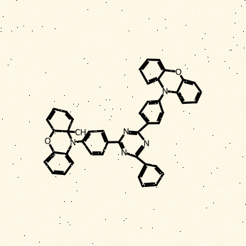 CC12C=CC=CC1Oc1ccccc1N2c1ccc(-c2nc(-c3ccccc3)nc(-c3ccc(N4c5ccccc5Oc5ccccc54)cc3)n2)cc1